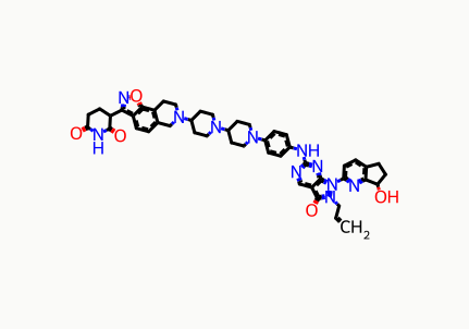 C=CCn1c(=O)c2cnc(Nc3ccc(N4CCC(N5CCC(N6CCc7c(ccc8c(C9CCC(=O)NC9=O)noc78)C6)CC5)CC4)cc3)nc2n1-c1ccc2c(n1)C(O)CC2